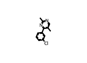 Cc1ncc(C)c(-c2cccc(Cl)c2)n1